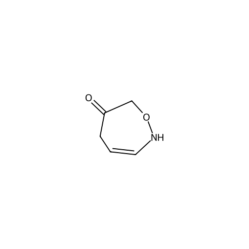 O=C1CC=CNOC1